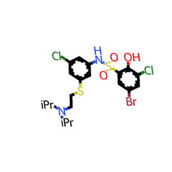 CC(C)N(CCSc1cc(Cl)cc(NS(=O)(=O)c2cc(Br)cc(Cl)c2O)c1)C(C)C